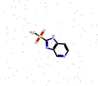 CS(=O)(=O)c1nc2cnccc2[nH]1